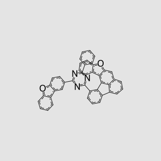 c1ccc(-c2nc(-c3ccc4oc5ccccc5c4c3)nc(-c3cccc4c3-c3c5c-4cccc5cc4oc5ccccc5c34)n2)cc1